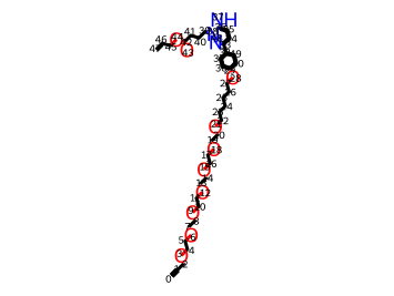 C#CCOCCOCCOCCOCCOCCOCCOCCCCCCOc1ccc(-c2ccc(=N)n(CCCC(=O)OCC=C)n2)cc1